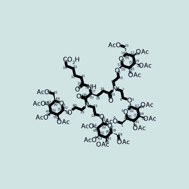 CC(=O)OC[C@H]1O[C@H](OCCN(CCO[C@H]2O[C@H](COC(C)=O)[C@@H](OC(C)=O)[C@H](OC(C)=O)[C@@H]2OC(C)=O)C(=O)CC[C@H](NC(=O)CCCCC(=O)O)C(=O)N(CCO[C@H]2O[C@H](COC(C)=O)[C@@H](OC(C)=O)[C@H](OC(C)=O)[C@@H]2OC(C)=O)CCO[C@H]2O[C@H](COC(C)=O)[C@@H](OC(C)=O)[C@H](OC(C)=O)[C@@H]2OC(C)=O)[C@@H](OC(C)=O)[C@@H](OC(C)=O)[C@@H]1OC(C)=O